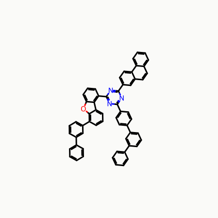 c1ccc(-c2cccc(-c3ccc(-c4nc(-c5ccc6c(ccc7ccccc76)c5)nc(-c5cccc6oc7c(-c8cccc(-c9ccccc9)c8)cccc7c56)n4)cc3)c2)cc1